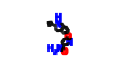 NC(=O)c1ccc(Oc2ccc3c(c2)CCC(C2CCC2)NC3)nc1